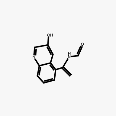 C=C(NC=O)c1cccc2ncc(O)cc12